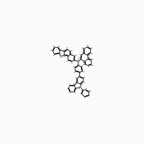 c1ccc(-n2c3ccccc3c3cc(-c4ccc(N(c5ccc6c(ccc7c8ccccc8oc67)c5)c5cc6ccccc6c6ccccc56)cc4)ccc32)cc1